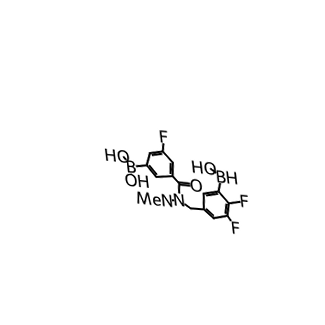 CNN(Cc1cc(F)c(F)c(BO)c1)C(=O)c1cc(F)cc(B(O)O)c1